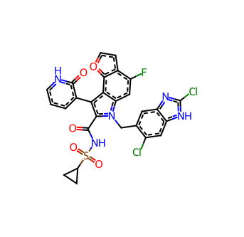 O=C(NS(=O)(=O)C1CC1)c1c(-c2ccc[nH]c2=O)c2c3occc3c(F)cc2n1Cc1cc2nc(Cl)[nH]c2cc1Cl